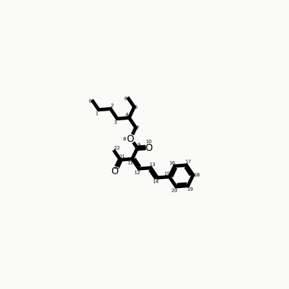 CCCCC(CC)COC(=O)C(=CC=Cc1ccccc1)C(C)=O